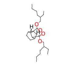 CCCCC(CC)COC(=O)[C@H]1C2CCC(CC2)[C@@H]1C(=O)OCC(CC)CCCC